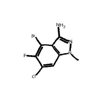 Cn1nc(N)c2c(Br)c(F)c(Cl)cc21